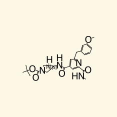 CNC(=O)c1cc(C(=O)N[C@H]2C3CN(C(=O)OC(C)(C)C)C[C@H]32)cc(Cc2cccc(OC)c2)n1